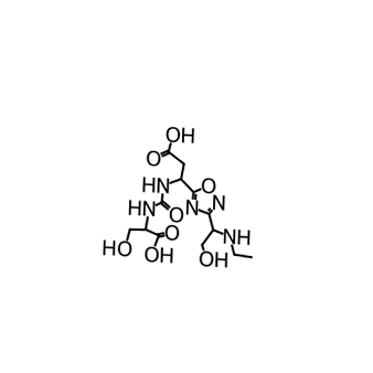 CCNC(CO)c1noc(C(CC(=O)O)NC(=O)NC(CO)C(=O)O)n1